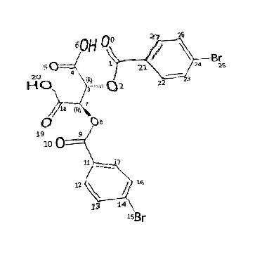 O=C(O[C@@H](C(=O)O)[C@@H](OC(=O)c1ccc(Br)cc1)C(=O)O)c1ccc(Br)cc1